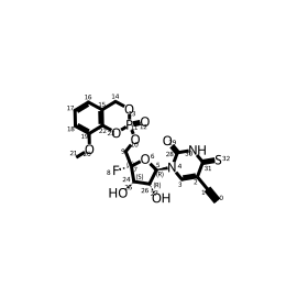 C#Cc1cn([C@@H]2O[C@](F)(COP3(=O)OCc4cccc(OC)c4O3)[C@@H](O)[C@H]2O)c(=O)[nH]c1=S